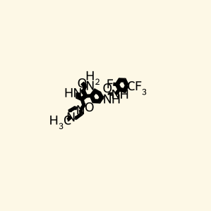 CN1CCN(C(=O)c2c[nH]c(C(N)=O)c2-c2ccc(NC(=O)Nc3cc(C(F)(F)F)ccc3F)cc2)CC1